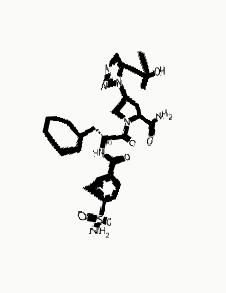 CC(C)(O)c1cnnn1C1CC(C(N)=O)N(C(=O)[C@@H](CC2CCCCC2)NC(=O)c2ccc(S(N)(=O)=O)cc2)C1